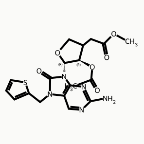 COC(=O)CC1CO[C@@H](n2c(=O)n(Cc3cccs3)c3cnc(N)nc32)[C@@H]1OC(C)=O